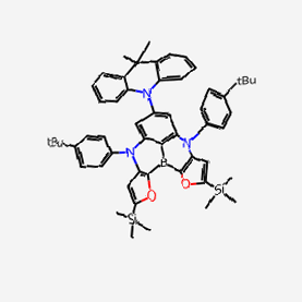 CC(C)(C)c1ccc(N2c3cc([Si](C)(C)C)oc3B3c4oc([Si](C)(C)C)cc4N(c4ccc(C(C)(C)C)cc4)c4cc(N5c6ccccc6C(C)(C)c6ccccc65)cc2c43)cc1